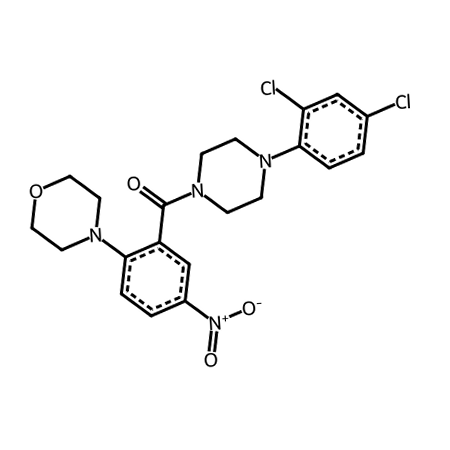 O=C(c1cc([N+](=O)[O-])ccc1N1CCOCC1)N1CCN(c2ccc(Cl)cc2Cl)CC1